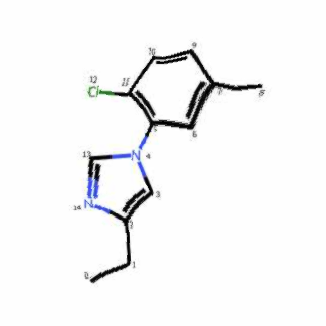 CCc1cn(-c2cc(C)ccc2Cl)cn1